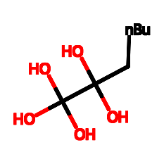 CCCCCC(O)(O)C(O)(O)O